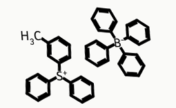 Cc1cccc([S+](c2ccccc2)c2ccccc2)c1.c1ccc([B-](c2ccccc2)(c2ccccc2)c2ccccc2)cc1